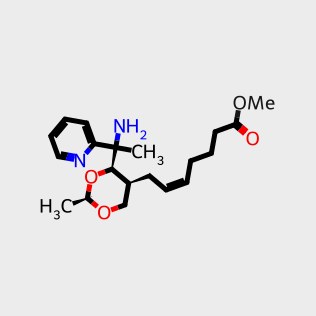 COC(=O)CCC/C=C\C[C@H]1CO[C@@H](C)O[C@H]1C(C)(N)c1ccccn1